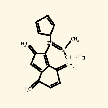 C=C1C=c2c(=C)ccc(=C)c2=[C]1[Zr+2]([CH]1C=CC=C1)=[Si](C)C.[Cl-].[Cl-]